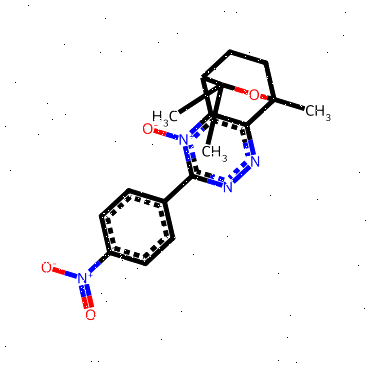 CC12CCC(c3c1nnc(-c1ccc([N+](=O)[O-])cc1)[n+]3[O-])C(C)(C)O2